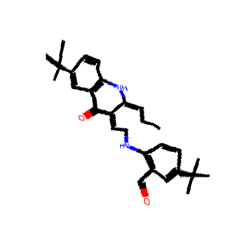 CC/C=c1/[nH]c2ccc(C(C)(C)C)cc2c(=O)/c1=C/CNc1ccc(C(C)(C)C)cc1C=O